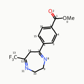 COC(=O)c1ccc(C2=NCCN=C(C(F)(F)F)C2)cc1